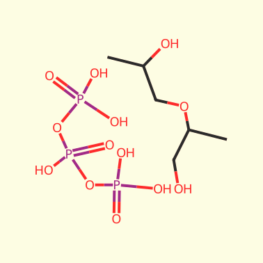 CC(O)COC(C)CO.O=P(O)(O)OP(=O)(O)OP(=O)(O)O